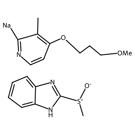 COCCCOc1ccn[c]([Na])c1C.C[S+]([O-])c1nc2ccccc2[nH]1